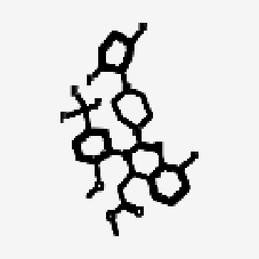 COC(=O)CC1c2cccc(F)c2N=C(N2CCN(c3cc(F)ccc3F)CC2)N1c1cc(C(F)(F)F)ccc1OC